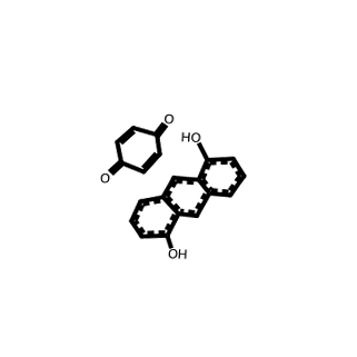 O=C1C=CC(=O)C=C1.Oc1cccc2cc3c(O)cccc3cc12